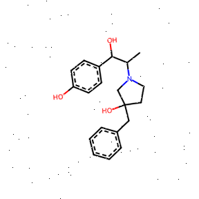 CC(C(O)c1ccc(O)cc1)N1CCC(O)(Cc2ccccc2)C1